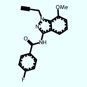 C#CCn1nc(NC(=O)c2ccc(F)cc2)c2cccc(OC)c21